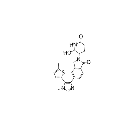 Cc1ccc(-c2c(-c3ccc4c(c3)CN(C3CCC(=O)NC3O)C4=O)ncn2C)s1